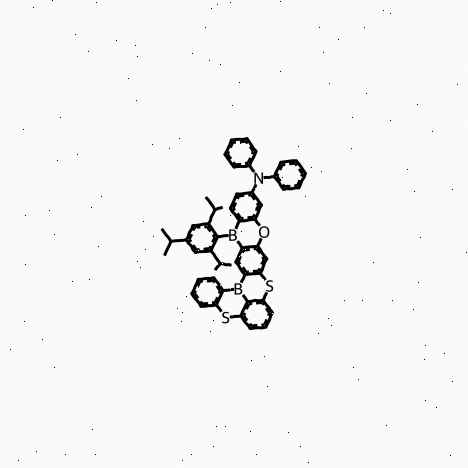 CC(C)c1cc(C(C)C)c(B2c3ccc(N(c4ccccc4)c4ccccc4)cc3Oc3cc4c(cc32)B2c3ccccc3Sc3cccc(c32)S4)c(C(C)C)c1